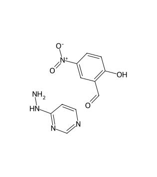 NNc1ccncn1.O=Cc1cc([N+](=O)[O-])ccc1O